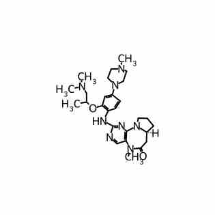 CC(CN(C)C)Oc1cc(N2CCN(C)CC2)ccc1Nc1ncc2c(n1)N1CCC[C@H]1CC(=O)N2C